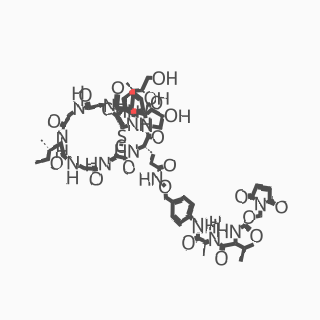 CC[C@H](C)[C@@H]1NC(=O)CNC(=O)C2Cc3c([nH]c4ccccc34)SCC(NC(=O)CNC1=O)C(=O)N[C@@H](CCC(=O)NOCc1ccc(NC(=O)[C@H](C)NC(=O)C(NC(=O)OCN3C(=O)C=CC3=O)C(C)C)cc1)C(=O)N1C[C@H](O)C[C@@]1(C=O)N[C@@H]([C@@H](C)[C@@H](O)CO)C(=O)N2